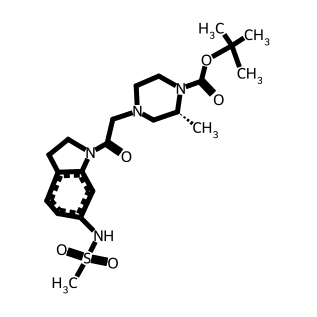 C[C@@H]1CN(CC(=O)N2CCc3ccc(NS(C)(=O)=O)cc32)CCN1C(=O)OC(C)(C)C